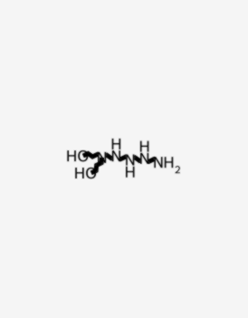 NCCNCCNCCNCCN(CCCO)CCCO